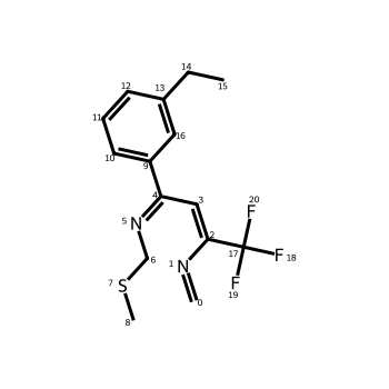 C=N/C(=C\C(=N/CSC)c1cccc(CC)c1)C(F)(F)F